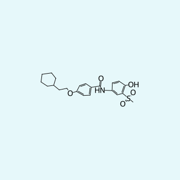 CS(=O)(=O)c1cc(NC(=O)c2ccc(OCCC3CCCCC3)cc2)ccc1O